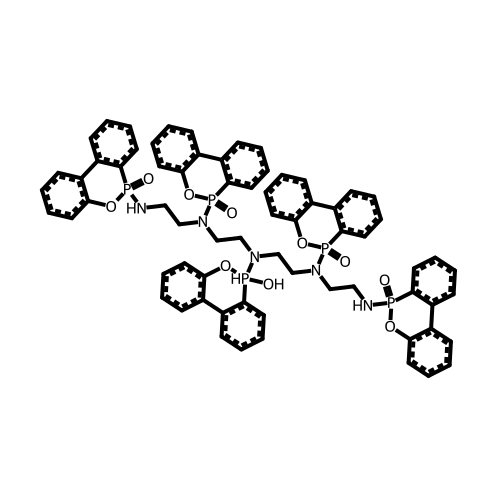 O=P1(NCCN(CCN(CCN(CCNP2(=O)Oc3ccccc3-c3ccccc32)P2(=O)Oc3ccccc3-c3ccccc32)[PH]2(O)Oc3ccccc3-c3ccccc32)P2(=O)Oc3ccccc3-c3ccccc32)Oc2ccccc2-c2ccccc21